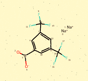 [Na+].[Na+].[O-]B([O-])c1cc(C(F)(F)F)cc(C(F)(F)F)c1